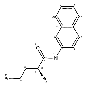 O=C(Nc1ccc2ccccc2c1)[C@@H](Br)CCBr